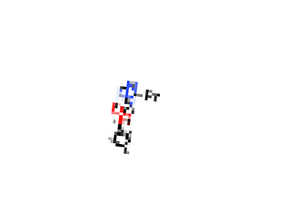 CC(C)c1ncnn1CC(=O)OCc1ccccc1